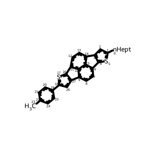 CCCCCCCc1cc2c(s1)-c1ccc3c4c(ccc-2c14)-c1sc(-c2ccc(C)cc2)cc1-3